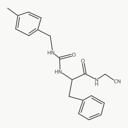 Cc1ccc(CNC(=O)NC(Cc2ccccc2)C(=O)NCC#N)cc1